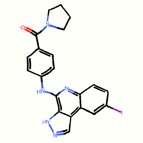 O=C(c1ccc(Nc2nc3ccc(I)cc3c3cn[nH]c23)cc1)N1CCCC1